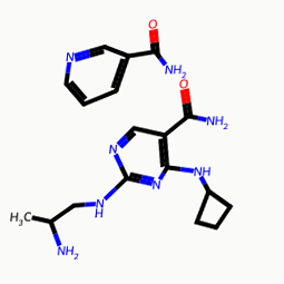 CC(N)CNc1ncc(C(N)=O)c(NC2CCC2)n1.NC(=O)c1cccnc1